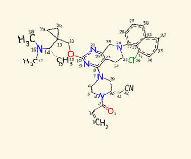 C=CC(=O)N1CCN(c2nc(OCC3([C@H](C)N(C)C)CC3)nc3c2CCN(c2cccc4cccc(Cl)c24)C3)C[C@@H]1CC#N